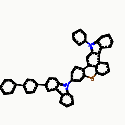 c1ccc(-c2ccc(-c3ccc4c(c3)c3ccccc3n4-c3ccc4c(c3)Sc3cccc5c3c-4cc3c5c4ccccc4n3-c3ccccc3)cc2)cc1